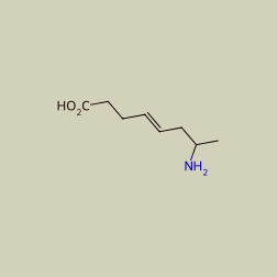 CC(N)CC=CCCC(=O)O